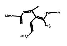 C=C(/N=C(/C)C(/C=C/C(=O)OCC)=C(N)NC(C)C)SC